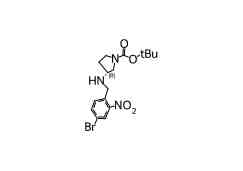 CC(C)(C)OC(=O)N1CC[C@@H](NCc2ccc(Br)cc2[N+](=O)[O-])C1